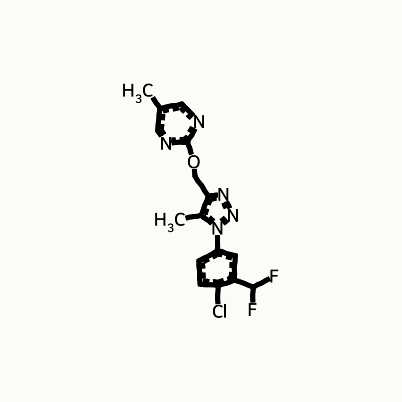 Cc1cnc(OCc2nnn(-c3ccc(Cl)c(C(F)F)c3)c2C)nc1